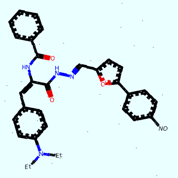 CCN(CC)c1ccc(/C=C(/NC(=O)c2ccccc2)C(=O)N/N=C/c2ccc(-c3ccc(N=O)cc3)o2)cc1